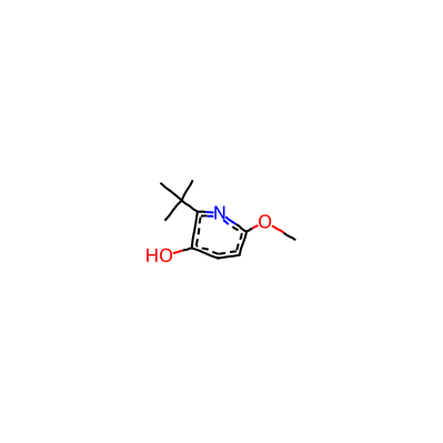 COc1ccc(O)c(C(C)(C)C)n1